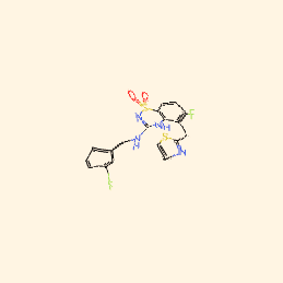 C[C@H](c1nccs1)c1c(F)ccc2c1NC(NCc1cccc(F)c1)=NS2(=O)=O